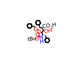 CC(C)(C)OC(=O)N[C@@H](Cc1ccccc1)[C@@H](OCOCc1ccccc1)[C@@H](O)C(Cc1ccccc1)C(=O)O